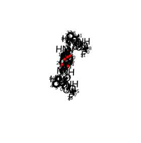 CC1C2CCC[C@H]3C[C@@H](c4nc5cc(-c6cc7ccc6CCc6ccc(c(-c8ccc9[nH]c([C@@H]%10C[C@@H]%11CCCC%12C(C)[C@H](NC(=O)OC(C)(C)CF)C(=O)N%10[C@@H]%12%11)nc9c8)c6)CC7)ccc5[nH]4)N(C(=O)[C@H]1NC(=O)OC(C)(C)CF)[C@@H]23